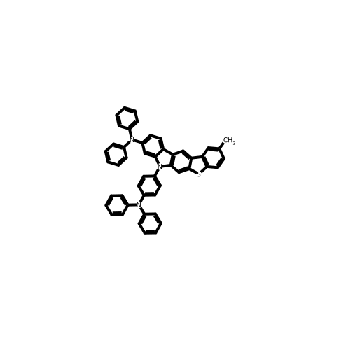 Cc1ccc2sc3cc4c(cc3c2c1)c1ccc(N(c2ccccc2)c2ccccc2)cc1n4-c1ccc(N(c2ccccc2)c2ccccc2)cc1